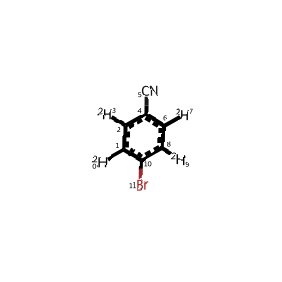 [2H]c1c([2H])c(C#N)c([2H])c([2H])c1Br